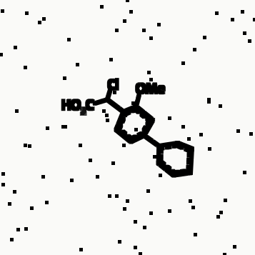 COc1cc(-c2ccccc2)ccc1C(Cl)C(=O)O